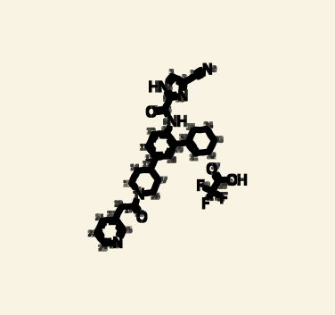 N#Cc1c[nH]c(C(=O)Nc2ccc(C3CCN(C(=O)Cc4cccnc4)CC3)cc2C2=CCCCC2)n1.O=C(O)C(F)(F)F